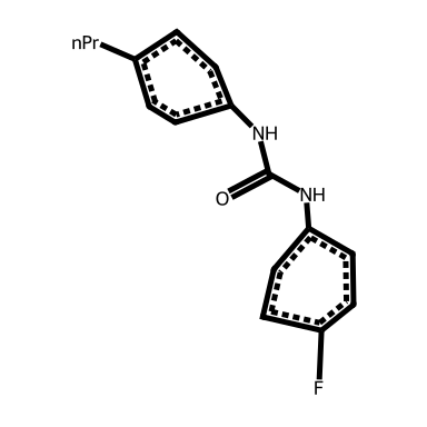 CCCc1ccc(NC(=O)Nc2ccc(F)cc2)cc1